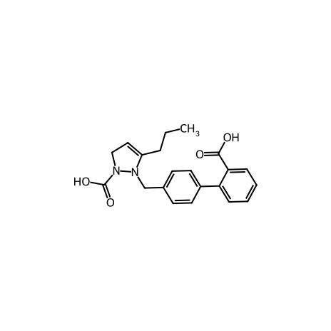 CCCC1=CCN(C(=O)O)N1Cc1ccc(-c2ccccc2C(=O)O)cc1